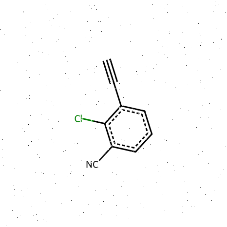 [C]#Cc1cccc(C#N)c1Cl